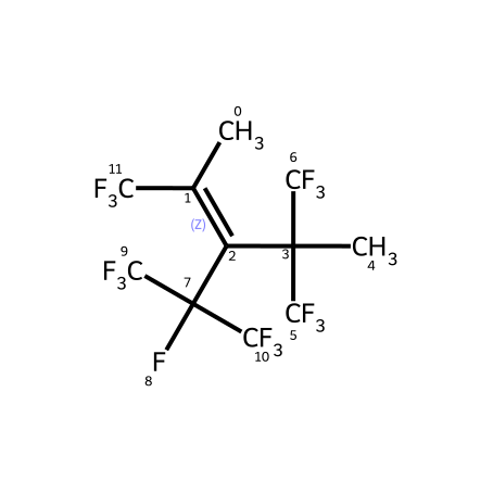 C/C(=C(\C(C)(C(F)(F)F)C(F)(F)F)C(F)(C(F)(F)F)C(F)(F)F)C(F)(F)F